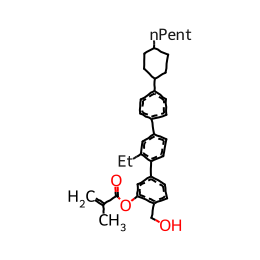 C=C(C)C(=O)Oc1cc(-c2ccc(-c3ccc(C4CCC(CCCCC)CC4)cc3)cc2CC)ccc1CO